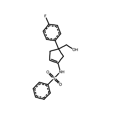 O=S(=O)(NC1=CCC(CO)(c2ccc(F)cc2)C1)c1ccccc1